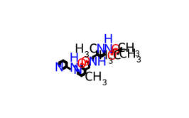 Cc1ccn(NCc2cccnc2)c(=O)c1CC(=O)NCc1ccc(NC(=O)OC(C)(C)C)nc1C